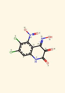 O=C1Nc2cc(Cl)c(Cl)c([N+](=O)[O-])c2/C(=N/O)C1=O